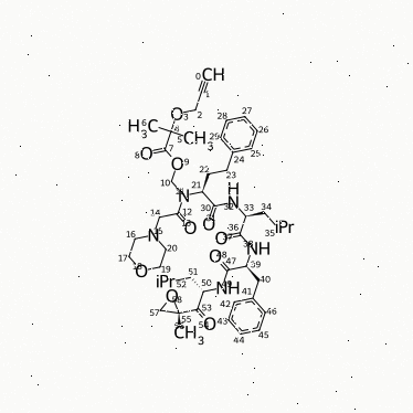 C#CCOC(C)(C)C(=O)OCN(C(=O)CN1CCOCC1)[C@@H](CCc1ccccc1)C(=O)N[C@@H](CC(C)C)C(=O)N[C@@H](Cc1ccccc1)C(=O)N[C@@H](CC(C)C)C(=O)[C@]1(C)CO1